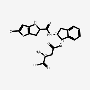 N[C@@H](CC(=O)N[C@H]1c2ccccc2C[C@H]1NC(=O)C1Cc2sc(Cl)cc2N1)C(=O)O